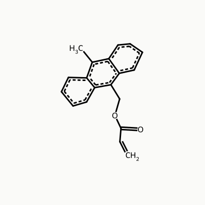 C=CC(=O)OCc1c2ccccc2c(C)c2ccccc12